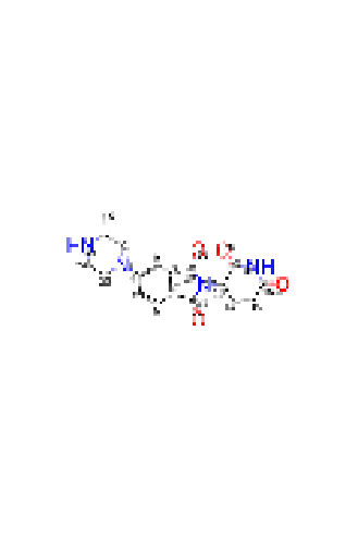 C[C@@H]1CN(c2ccc3c(c2)C(=O)N(C2CCC(=O)NC2=O)C3=O)CCN1